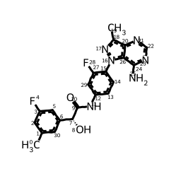 Cc1cc(F)cc([C@@H](O)C(=O)Nc2ccc(-n3nc(C)c4ncnc(N)c43)c(F)c2)c1